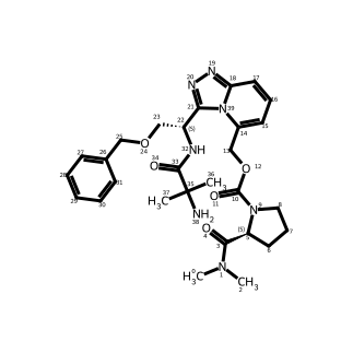 CN(C)C(=O)[C@@H]1CCCN1C(=O)OCc1cccc2nnc([C@@H](COCc3ccccc3)NC(=O)C(C)(C)N)n12